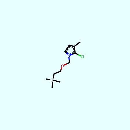 Cc1ccn(COCC[Si](C)(C)C)c1Cl